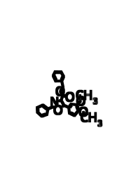 COc1ccc(C2OC(c3ccccc3)=NC2C(=O)OCc2ccccc2)cc1OC